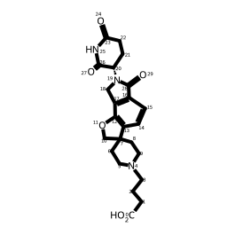 O=C(O)CCCN1CCC2(CC1)COc1c2ccc2c1CN([C@H]1CCC(=O)NC1=O)C2=O